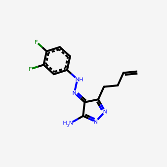 C=CCCC1=NN=C(N)/C1=N/Nc1ccc(F)c(F)c1